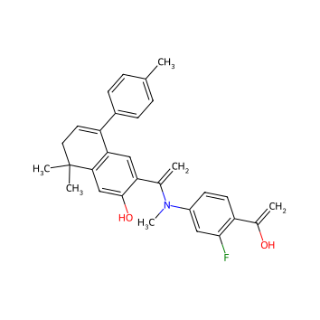 C=C(O)c1ccc(N(C)C(=C)c2cc3c(cc2O)C(C)(C)CC=C3c2ccc(C)cc2)cc1F